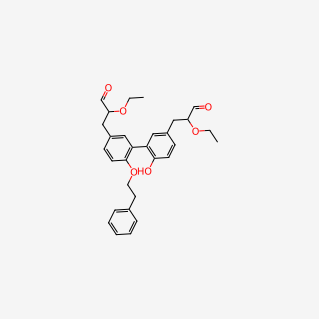 CCOC(C=O)Cc1ccc(O)c(-c2cc(CC(C=O)OCC)ccc2OCCc2ccccc2)c1